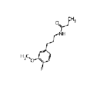 CCC(=O)NCCCc1ccc(F)c(OC)c1